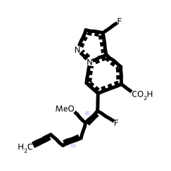 C=C/C=C\C(OC)=C(/F)c1cn2ncc(F)c2cc1C(=O)O